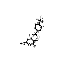 O=C(O)CC(NC(=O)c1ccc(C(F)(F)F)cc1)C(=O)CF